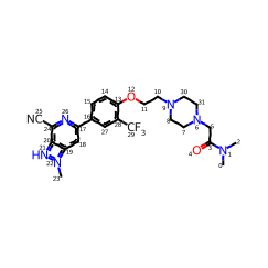 CN(C)C(=O)CN1CCN(CCOc2ccc(-c3cc4c([nH]n4C)c(C#N)n3)cc2C(F)(F)F)CC1